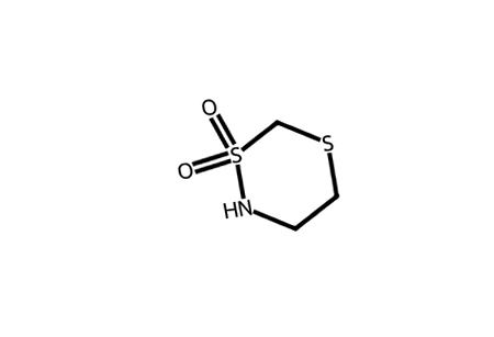 O=S1(=O)CSCCN1